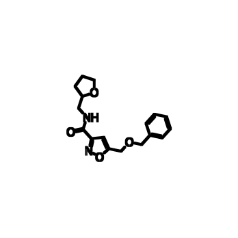 O=C(NCC1CCCO1)c1cc(COCc2ccccc2)on1